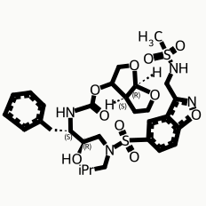 CC(C)CN(C[C@@H](O)[C@H](Cc1ccccc1)NC(=O)OC1CO[C@H]2OCC[C@@H]12)S(=O)(=O)c1ccc2onc(CNS(C)(=O)=O)c2c1